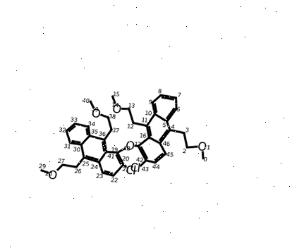 COCCc1c2ccccc2c(CCOC)c2c(Oc3c(Cl)ccc4c(CCOC)c5ccccc5c(CCOC)c34)c(Cl)ccc12